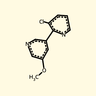 COc1cncc(-c2ncccc2Cl)c1